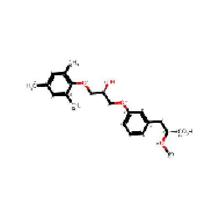 Cc1cc(C)c(OC[C@@H](O)COc2cccc(C[C@H](OC(C)C)C(=O)O)c2)c(C)c1